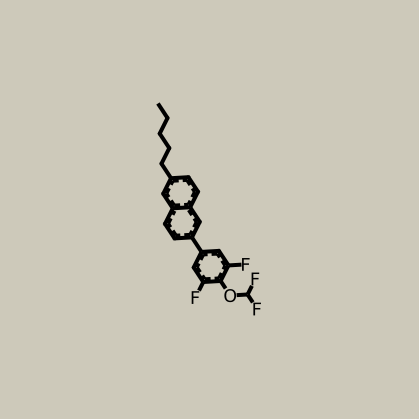 CCCCCc1ccc2cc(-c3cc(F)c(OC(F)F)c(F)c3)ccc2c1